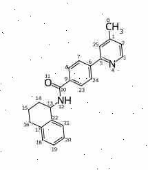 Cc1ccnc(-c2ccc(C(=O)NC3CCCc4ccccc43)cc2)c1